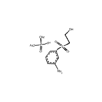 Nc1cccc(S(=O)(=O)CCO)c1.O=P(O)(O)O